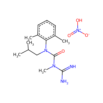 Cc1cccc(C)c1N(CC(C)C)C(=O)N(C)C(=N)N.O=[N+]([O-])O